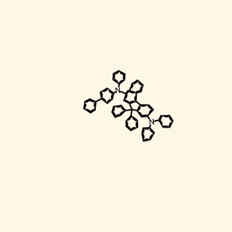 c1ccc(-c2ccc(N(c3ccccc3)c3cc4c(c5ccccc35)-c3ccc(N(c5ccccc5)c5ccccc5)cc3C4(c3ccccc3)c3ccccc3)cc2)cc1